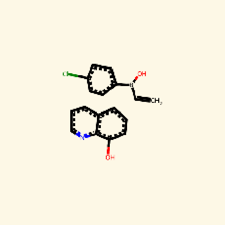 C=CB(O)c1ccc(Cl)cc1.Oc1cccc2cccnc12